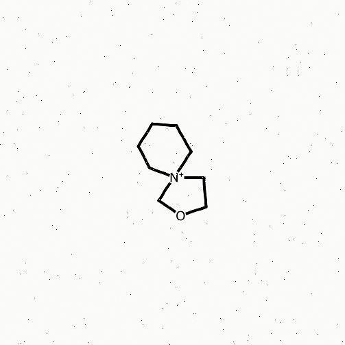 C1CC[N+]2(CC1)CCOC2